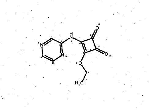 CCOc1c(Nc2cnccn2)c(=O)c1=O